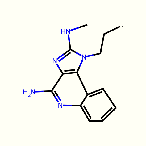 [CH2]CCn1c(NC)nc2c(N)nc3ccccc3c21